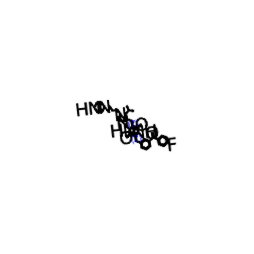 CC(C)c1c(/C=c2\[nH]c(=O)/c(=C/c3cccc(C(=O)c4ccc(F)cc4)c3)[nH]c2=O)ncn1CCCN1CCNCC1